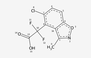 Cc1noc2ccc(Cl)c(C(F)(F)C(=O)O)c12